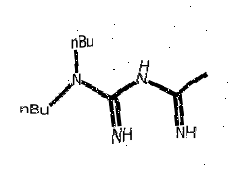 CCCCN(CCCC)C(=N)NC(C)=N